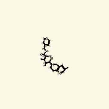 Cc1cnc2c(c1)CN(c1nnc(C(=O)NCc3ccncc3)c(C)c1C)CC2